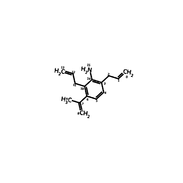 C=CCc1ccc(C(=C)C)c(CC=C)c1N